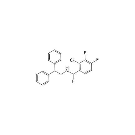 Fc1ccc(C(F)NCC(c2ccccc2)c2ccccc2)c(Cl)c1F